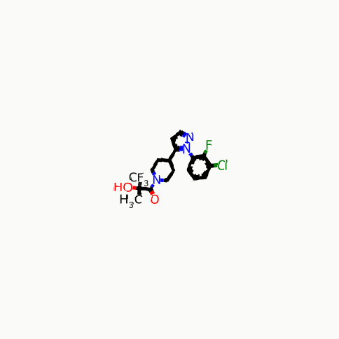 CC(O)(C(=O)N1CCC(c2ccnn2-c2cccc(Cl)c2F)CC1)C(F)(F)F